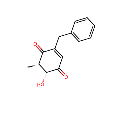 C[C@@H]1C(=O)C(Cc2ccccc2)=CC(=O)[C@@H]1O